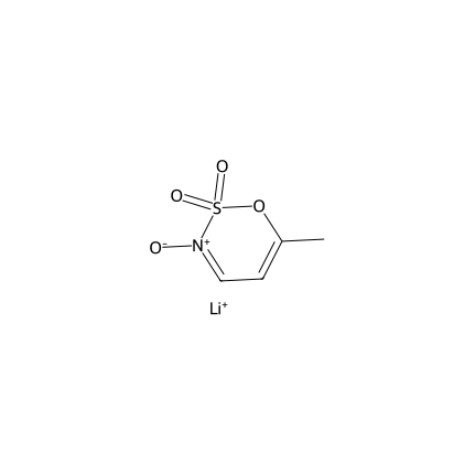 CC1=CC=[N+]([O-])S(=O)(=O)O1.[Li+]